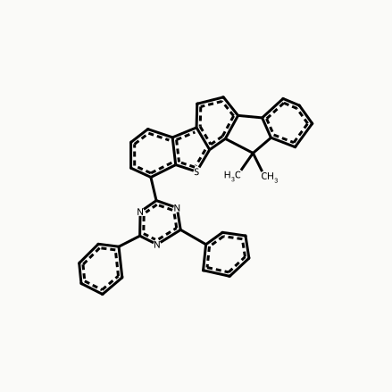 CC1(C)c2ccccc2-c2ccc3c(sc4c(-c5nc(-c6ccccc6)nc(-c6ccccc6)n5)cccc43)c21